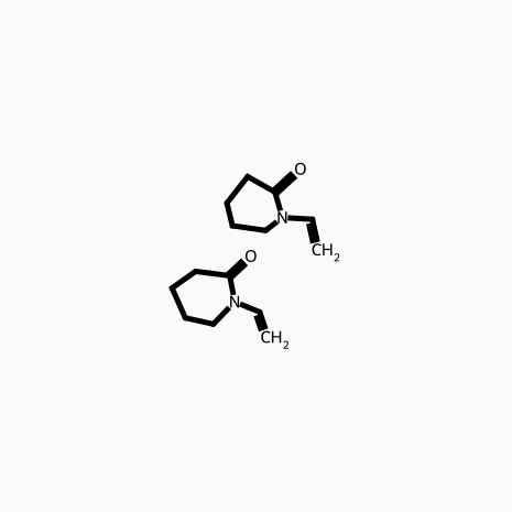 C=CN1CCCCC1=O.C=CN1CCCCC1=O